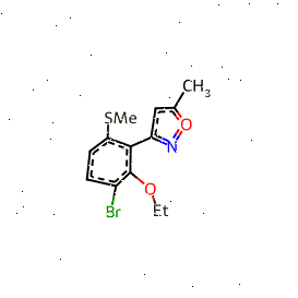 CCOc1c(Br)ccc(SC)c1-c1cc(C)on1